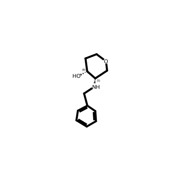 O[C@@H]1CCOC[C@@H]1NCc1ccccc1